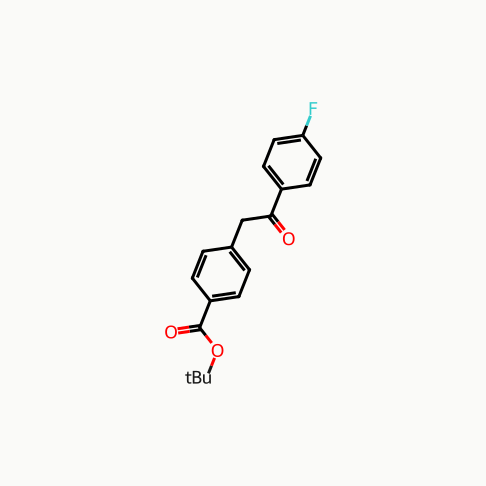 CC(C)(C)OC(=O)c1ccc(CC(=O)c2ccc(F)cc2)cc1